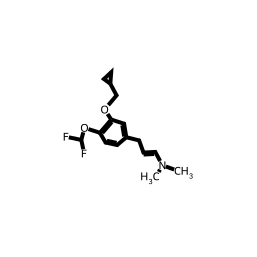 CN(C)C=CCc1ccc(OC(F)F)c(OCC2CC2)c1